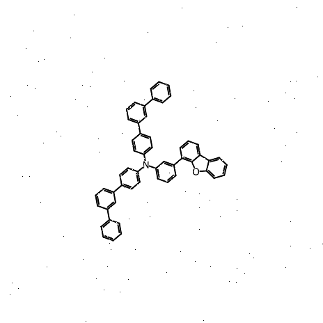 c1ccc(-c2cccc(-c3ccc(N(c4ccc(-c5cccc(-c6ccccc6)c5)cc4)c4cccc(-c5cccc6c5oc5ccccc56)c4)cc3)c2)cc1